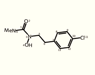 CNC(=O)N(O)CCc1ccc(Cl)cc1